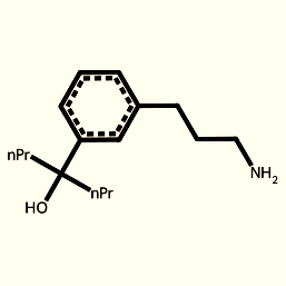 CCCC(O)(CCC)c1cccc(CCCN)c1